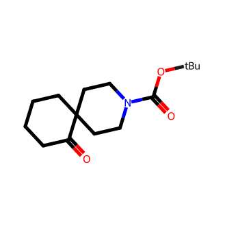 CC(C)(C)OC(=O)N1CCC2(CCCCC2=O)CC1